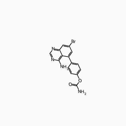 NC(=O)Oc1ccc(-c2cc(Br)cc3ncnc(N)c23)cc1